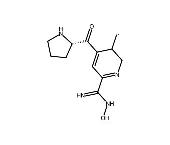 [CH2]C1CN=C(C(=N)NO)C=C1C(=O)[C@@H]1CCCN1